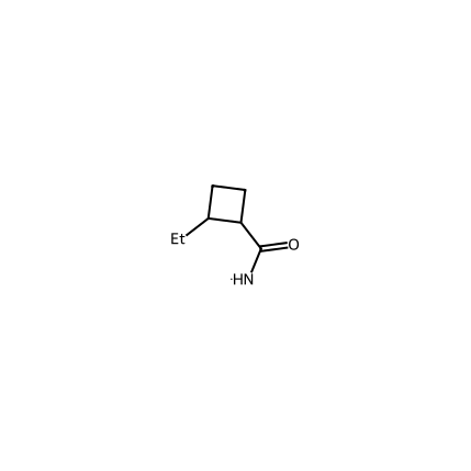 CCC1CCC1C([NH])=O